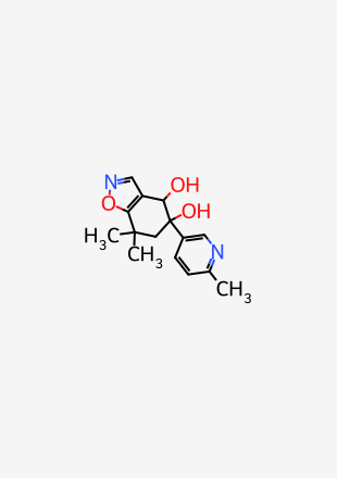 Cc1ccc(C2(O)CC(C)(C)c3oncc3C2O)cn1